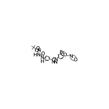 CC(C)(C)c1cc(NC(=O)Nc2ccc(-c3cn(-c4ccc(OCCN5CCOCC5)c(Br)c4)nn3)cc2)no1